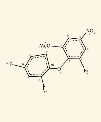 COc1cc([N+](=O)[O-])cc(Br)c1Oc1ccc(F)cc1F